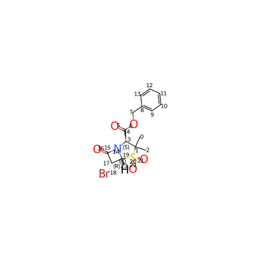 CC1(C)[C@H](C(=O)OCc2ccccc2)N2C(=O)[C@@H](Br)[C@H]2S1(=O)=O